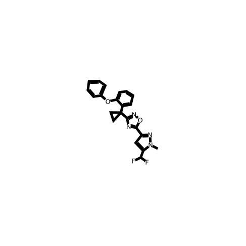 Cn1nc(-c2nc(C3(c4ccccc4Oc4ccccc4)CC3)no2)cc1C(F)F